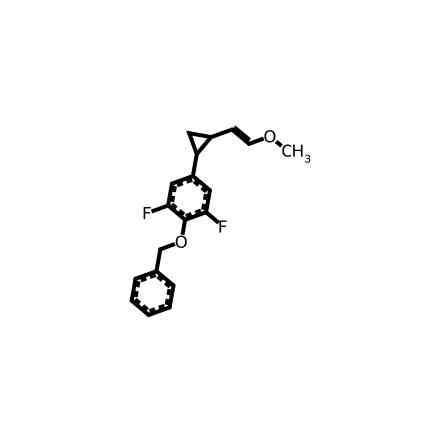 COC=CC1CC1c1cc(F)c(OCc2ccccc2)c(F)c1